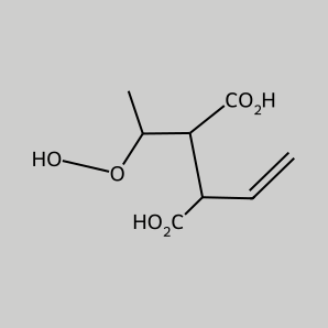 C=CC(C(=O)O)C(C(=O)O)C(C)OO